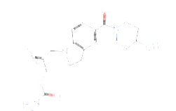 NC(=O)OC/C(=C/F)CN1CCc2cc(C(=O)N3CCC(O)CC3)ccc21